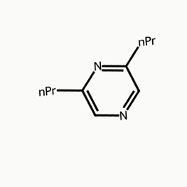 CCCc1cncc(CCC)n1